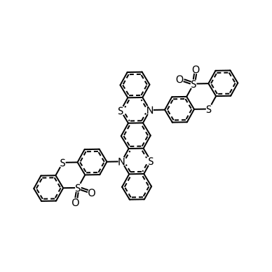 O=S1(=O)c2ccccc2Sc2ccc(-n3c4ccccc4sc4cc5c(cc43)sc3ccccc3n5-c3ccc4c(c3)S(=O)(=O)c3ccccc3S4)cc21